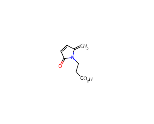 C=C1C=CC(=O)N1CCC(=O)O